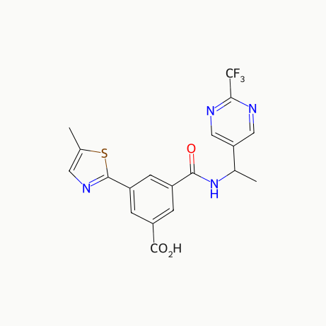 Cc1cnc(-c2cc(C(=O)O)cc(C(=O)NC(C)c3cnc(C(F)(F)F)nc3)c2)s1